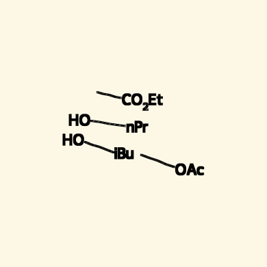 CCC(C)O.CCCO.CCOC(C)=O.COC(C)=O